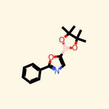 CC1(C)OB(c2cnc(-c3ccccc3)o2)OC1(C)C